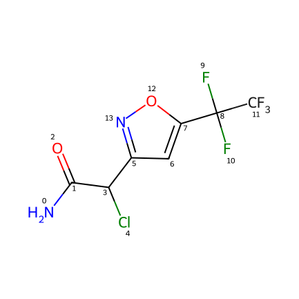 NC(=O)C(Cl)c1cc(C(F)(F)C(F)(F)F)on1